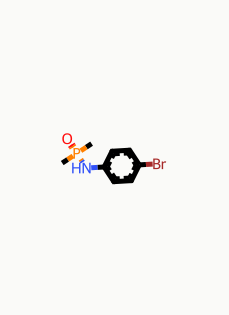 CP(C)(=O)Nc1ccc(Br)cc1